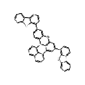 c1ccc2c(c1)oc1c(-c3ccc4c(c3)oc3cc(-c5cccc6c5oc5ccccc56)cc5c3-n4c3cccc4cccc5c43)cccc12